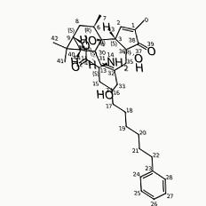 CC1=C[C@H]2[C@@]3(O)[C@H](C)C[C@]4(OC(=O)[C@@H](N)CCCCCCCCc5ccccc5)[C@H]([C@@H]3C=C(CO)C[C@]2(O)C1=O)C4(C)C